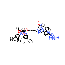 CCN1C(=O)CN(CCCCCO[C@@](C)(COc2ccc(C#N)cc2)C(=O)Nc2ccc(C#N)c(C(F)(F)F)c2)c2ncc(-c3ccc(-c4nc[nH]n4)nc3C)nc21